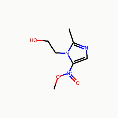 CO[N+](=O)c1cnc(C)n1CCO